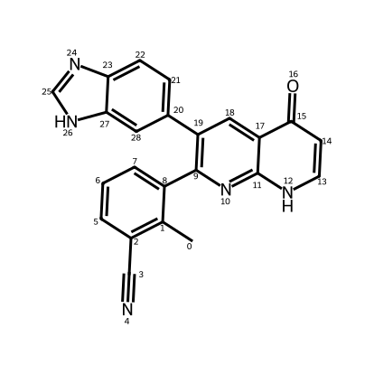 Cc1c(C#N)cccc1-c1nc2[nH]ccc(=O)c2cc1-c1ccc2nc[nH]c2c1